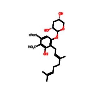 CCCCCc1cc(OC2OC[C@@H](O)C[C@H]2O)c(C/C=C(\C)CCC=C(C)C)c(O)c1C(=O)O